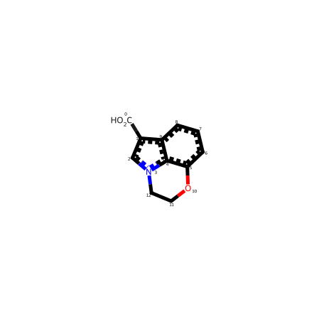 O=C(O)c1cn2c3c(cccc13)OCC2